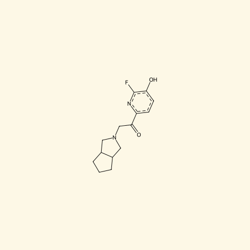 O=C(CN1CC2CCCC2C1)c1ccc(O)c(F)n1